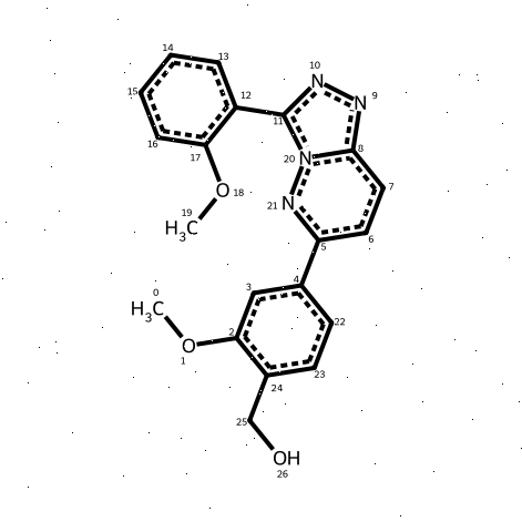 COc1cc(-c2ccc3nnc(-c4ccccc4OC)n3n2)ccc1CO